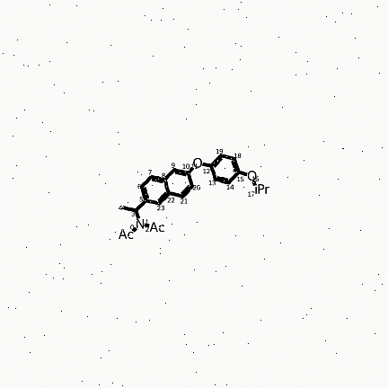 CC(=O)N(C(C)=O)C(C)c1ccc2cc(Oc3ccc(OC(C)C)cc3)ccc2c1